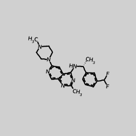 Cc1nc(N[C@H](C)c2cccc(C(F)F)c2)c2cc(N3CCN(C)CC3)ncc2n1